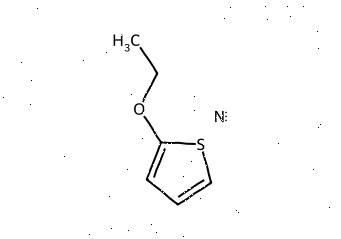 CCOc1cccs1.[N]